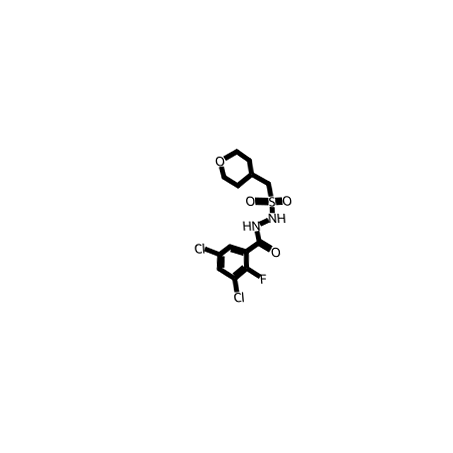 O=C(NNS(=O)(=O)CC1CCOCC1)c1cc(Cl)cc(Cl)c1F